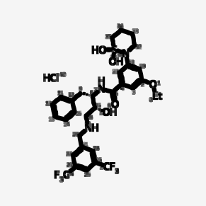 CCOc1cc(C(=O)N[C@@H](Cc2ccccc2)[C@H](O)CNCc2cc(C(F)(F)F)cc(C(F)(F)F)c2)cc(N2CCCCS2(O)O)c1.Cl